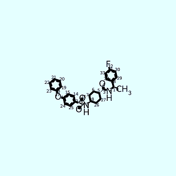 C[C@@H](NC(=O)[C@H]1CC[C@H](NS(=O)(=O)c2ccc(Oc3ccccc3)cc2)CC1)c1ccc(F)cc1